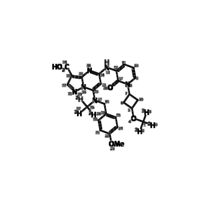 [2H]C([2H])([2H])OC1CC(n2cccc(Nc3cc(N(Cc4ccc(OC)cc4)C([2H])([2H])[2H])n4ncc(C(=O)O)c4n3)c2=O)C1